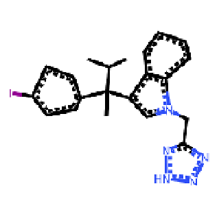 CC(C)C(C)(c1ccc(I)cc1)c1cn(Cc2nn[nH]n2)c2ccccc12